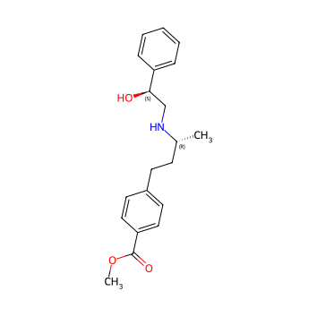 COC(=O)c1ccc(CC[C@@H](C)NC[C@@H](O)c2ccccc2)cc1